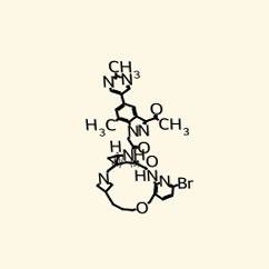 CC(=O)c1nn(CC(=O)N2[C@H]3C[C@]4(C[C@@H]24)CN2CC(CCCOCc4ccc(Br)nc4NC3=O)C2)c2c(C)cc(-c3cnc(C)nc3)cc12